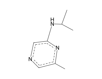 Cc1cncc(NC(C)C)n1